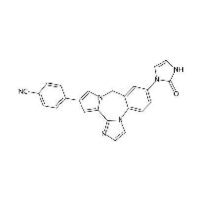 N#Cc1ccc(-c2cc3n(c2)Cc2cc(-n4cc[nH]c4=O)ccc2-n2ccnc2-3)cc1